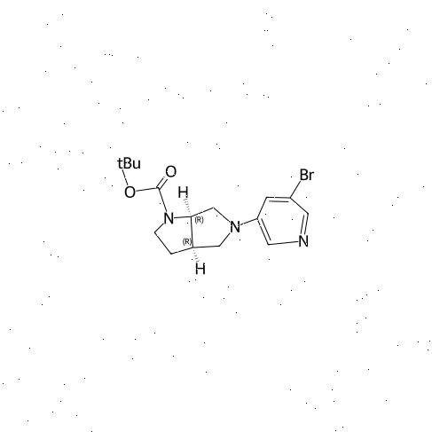 CC(C)(C)OC(=O)N1CC[C@@H]2CN(c3cncc(Br)c3)C[C@@H]21